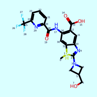 C[SH]1C(N2CC(CO)C2)=Nc2cc(C(=O)O)c(NC(=O)c3cccc(C(F)(F)F)n3)cc21